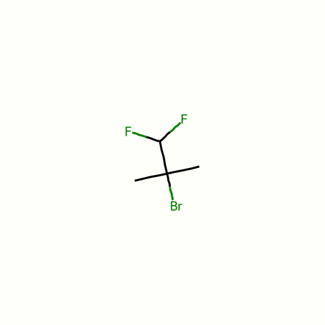 CC(C)(Br)C(F)F